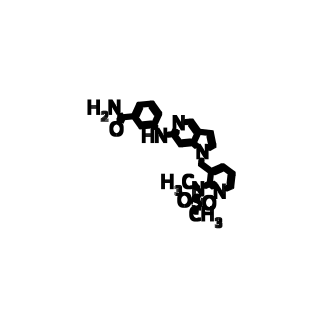 CN(c1ncccc1Cn1ccc2cnc(Nc3cccc(C(N)=O)c3)cc21)S(C)(=O)=O